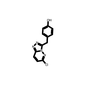 Oc1ccc(Cc2nnc3ccc(Cl)nn23)cc1